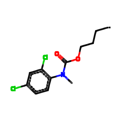 [CH2]CCCOC(=O)N(C)c1ccc(Cl)cc1Cl